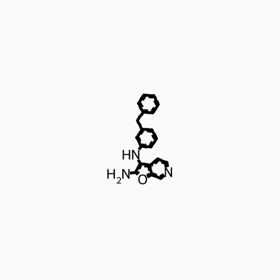 Nc1oc2cnccc2c1Nc1cccc(Cc2ccccc2)c1